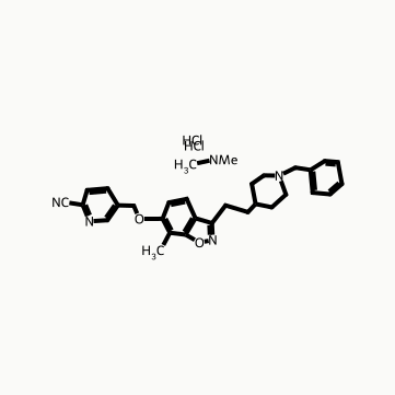 CNC.Cc1c(OCc2ccc(C#N)nc2)ccc2c(CCC3CCN(Cc4ccccc4)CC3)noc12.Cl.Cl